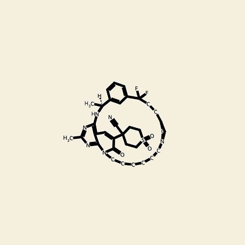 Cc1nc2c3cc(C4(C#N)CCS(=O)(=O)CC4)c(=O)n(c3n1)CCCCCCN1CC(CCC(F)(F)c3cccc(c3)[C@H](C)N2)C1